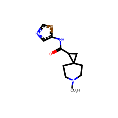 O=C(Nc1cncs1)C1CC12CCN(C(=O)O)CC2